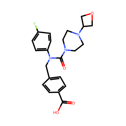 O=C(O)c1ccc(CN(C(=O)N2CCN(C3COC3)CC2)c2ccc(F)cc2)cc1